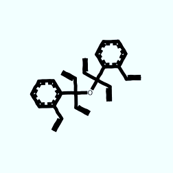 C=Cc1ccccc1C(C=C)(C=C)OC(C=C)(C=C)c1ccccc1C=C